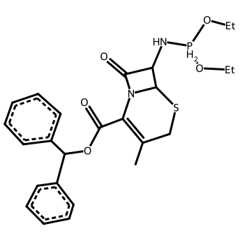 CCO[PH2](NC1C(=O)N2C(C(=O)OC(c3ccccc3)c3ccccc3)=C(C)CSC12)OCC